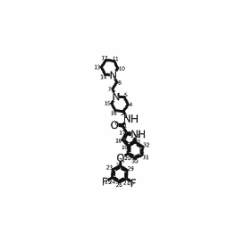 O=C(NC1CCN(CCN2CCCCC2)CC1)c1cc2c(Oc3cc(F)cc(F)c3)cccc2[nH]1